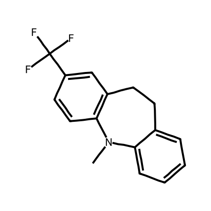 CN1c2ccccc2CCc2cc(C(F)(F)F)ccc21